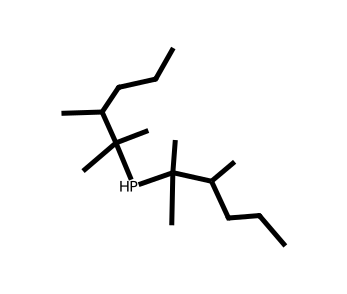 CCCC(C)C(C)(C)PC(C)(C)C(C)CCC